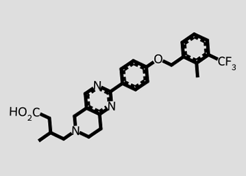 Cc1c(COc2ccc(-c3ncc4c(n3)CCN(CC(C)CC(=O)O)C4)cc2)cccc1C(F)(F)F